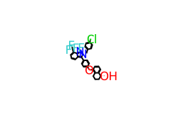 O[C@@H]1CCCc2c(Oc3ccc(-c4c5cccc(C(F)(F)F)c5nn4Cc4ccc(Cl)cc4F)cc3)cccc21